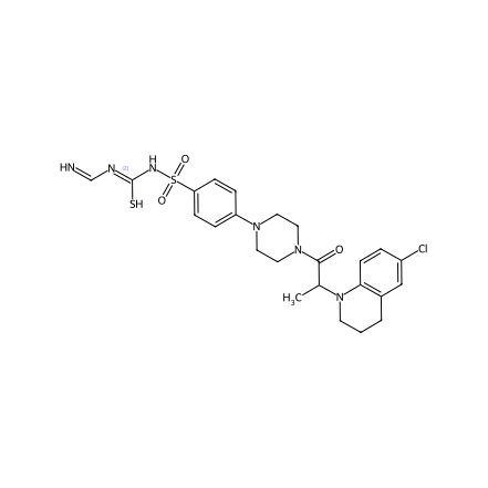 CC(C(=O)N1CCN(c2ccc(S(=O)(=O)N/C(S)=N/C=N)cc2)CC1)N1CCCc2cc(Cl)ccc21